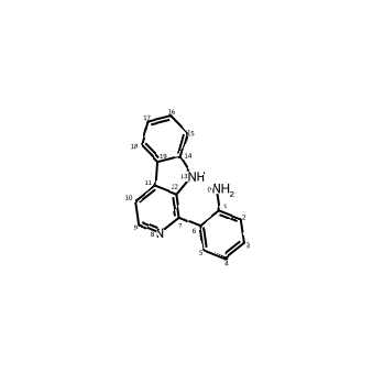 Nc1ccccc1-c1nccc2c1[nH]c1ccccc12